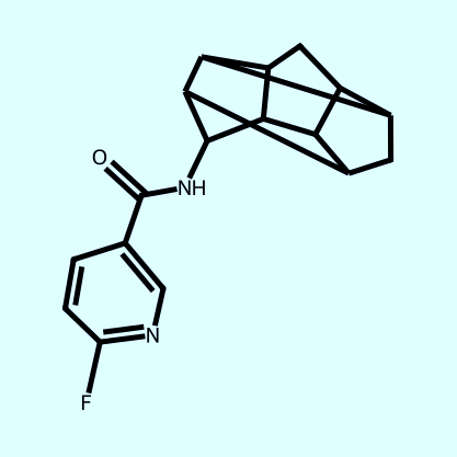 O=C(NC1C2C3CC4C5CC(C42)C1C53)c1ccc(F)nc1